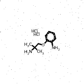 CC(C)(N)COc1ccccc1N.Cl.Cl